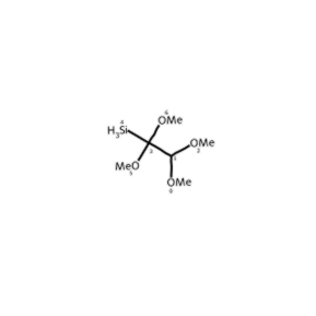 COC(OC)C([SiH3])(OC)OC